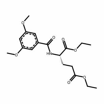 CCOC(=O)CC[C@H](NC(=O)c1cc(OC)cc(OC)c1)C(=O)OCC